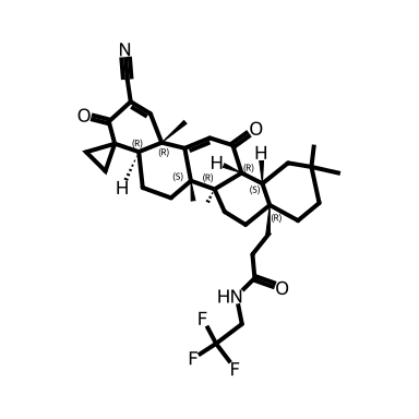 CC1(C)CC[C@]2(CCC(=O)NCC(F)(F)F)CC[C@]3(C)[C@H](C(=O)C=C4[C@@]5(C)C=C(C#N)C(=O)C6(CC6)[C@@H]5CC[C@]43C)[C@@H]2C1